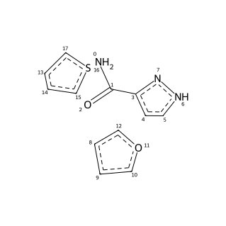 NC(=O)c1cc[nH]n1.c1ccoc1.c1ccsc1